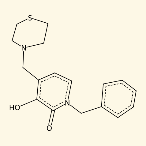 O=c1c(O)c(CN2CCSCC2)ccn1Cc1ccccc1